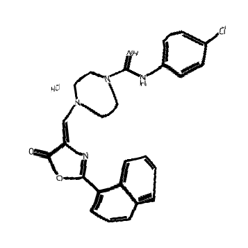 Cl.N=C(Nc1ccc(Cl)cc1)N1CCN(C=C2N=C(c3cccc4ccccc34)OC2=O)CC1